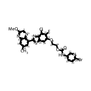 COc1cnc2c(-c3nc4c(Cl)c(F)c(OCCOC(=O)Nc5ccc(Br)nc5)cc4s3)cc(C)cc2n1